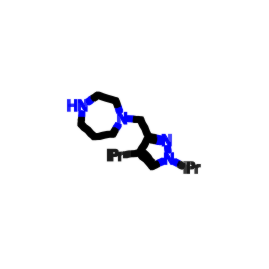 CC(C)c1cn(C(C)C)nc1CN1CCCNCC1